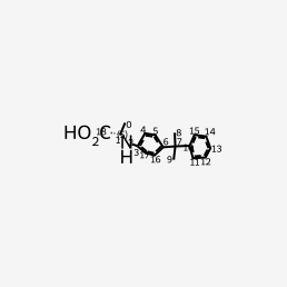 C[C@H](Nc1ccc(C(C)(C)c2ccccc2)cc1)C(=O)O